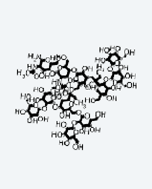 CC[C@](C)(C[C@@H]1C(O)[C@H](O[C@@H]2C(CO)O[C@@H](O[C@@H]3C(CO)O[C@@H](N)C(NC(C)=O)[C@H]3O)C(NC(C)=O)[C@H]2O)OC(CO[C@](C)(CC)[C@H]2OC(CO[C@H]3OC(CO)[C@@H](O)[C@H](O)C3O[C@H]3OC(CO)[C@@H](O)[C@H](O)C3O)[C@@H](O)[C@H](O[C@H]3O[C@@H](CO)[C@@H](O)C(O)C3O[C@H]3O[C@@H](CO)[C@@H](O)C(O)C3O)C2O)[C@H]1O)[C@H]1CC(CO)[C@@H](O)C(O)C1O[C@H]1O[C@@H](CO)[C@@H](O)C(O)C1O[C@H]1O[C@@H](CO)[C@@H](O)C(O)C1O